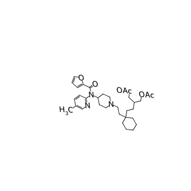 CC(=O)OCC(CCC1(CCN2CCC(N(C(=O)c3ccco3)c3ccc(C)cn3)CC2)CCCCC1)COC(C)=O